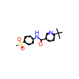 CC(C)(C)c1ccc(C(=O)Nc2ccc(S(C)(=O)=O)cc2)cn1